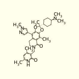 Cc1cc(C)c(CN2CCc3c(c(C)c4c(c3-c3cnn(C)c3)OC(C)([C@H]3CC[C@H](N(C)C)CC3)O4)C2=O)c(=O)[nH]1